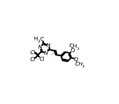 COc1ccc(/C=C/c2nc(C)nc(C(Cl)(Cl)Cl)n2)cc1OC